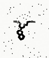 CCCCCCCCCCCCOCC(COS(=O)(=O)O)N1CCc2ccccc2C1